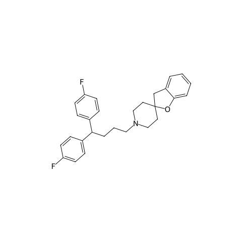 Fc1ccc(C(CCCN2CCC3(CC2)Cc2ccccc2O3)c2ccc(F)cc2)cc1